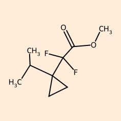 COC(=O)C(F)(F)C1(C(C)C)CC1